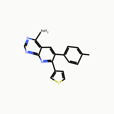 Cc1ccc(-c2cc3c([AsH2])ncnc3nc2-c2ccsc2)cc1